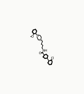 COc1ccccc1N1CCN(CCCCNC(=O)c2ccc(-c3ccccc3Cl)cc2)CC1